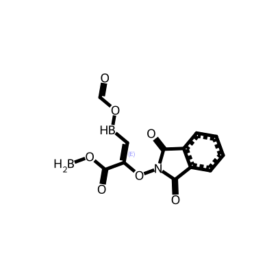 BOC(=O)/C(=C\BOC=O)ON1C(=O)c2ccccc2C1=O